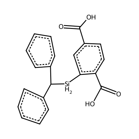 O=C(O)c1ccc(C(=O)O)c([SiH2]C(c2ccccc2)c2ccccc2)c1